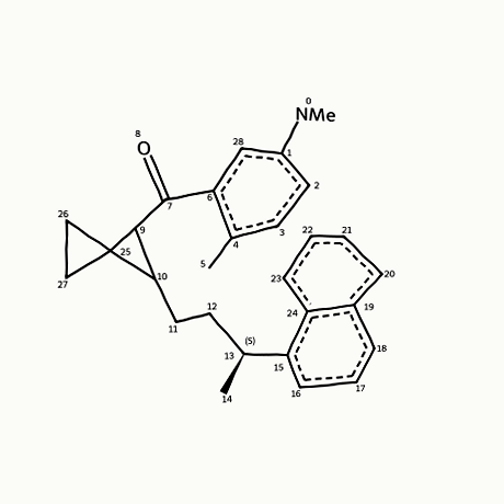 CNc1ccc(C)c(C(=O)C2C(CC[C@H](C)c3cccc4ccccc34)C23CC3)c1